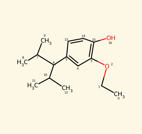 CCOc1cc([C](C(C)C)C(C)C)ccc1O